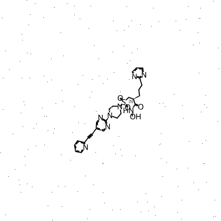 O=C(NO)[C@H](CCCc1ncccn1)CS(=O)(=O)N1CCN(c2ncc(C#Cc3ccccn3)cn2)CC1